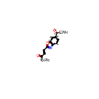 COC(=O)/C=C/c1nc2ccc(C(=O)OC)cc2o1